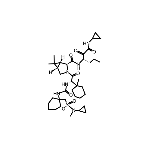 CCC[C@H](NC(=O)[C@@H]1[C@@H]2[C@H](CN1C(=O)[C@@H](NC(=O)NC1(CS(=O)(=O)N(C)C3CC3)CCCCC1)C1(C)CCCCC1)C2(C)C)C(=O)C(=O)NC1CC1